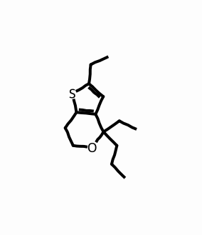 CCCC1(CC)OCCc2sc(CC)cc21